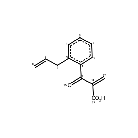 C=CCc1ccccc1C(=O)C(=C)C(=O)O